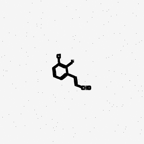 O=CC=Cc1cccc(Cl)c1F